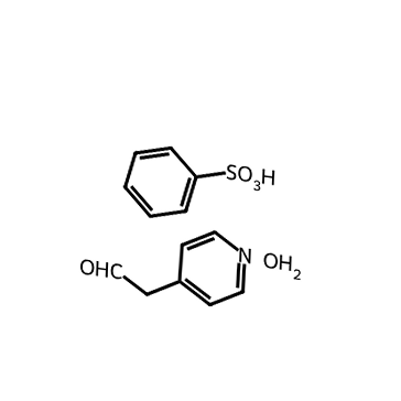 O.O=CCc1ccncc1.O=S(=O)(O)c1ccccc1